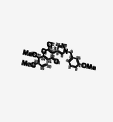 COc1cccc(Cn2cc(-c3c(C(F)(F)F)oc4c(OC)c(OC)ccc4c3=O)cn2)c1